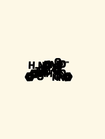 Nc1ccc(Nc2ccc(S(=O)(=O)Nc3ccccc3)cc2[N+](=O)[O-])cc1S(=O)(=O)NS(=O)(=O)c1ccc2ccccc2c1